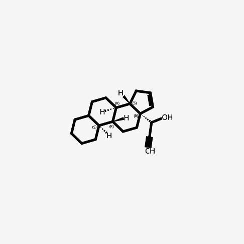 C#CC(O)[C@@]12C=CC[C@H]1[C@@H]1CCC3CCCC[C@@H]3[C@H]1CC2